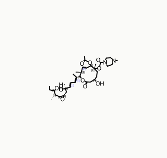 CC[C@H](O)[C@@H](C)[C@H]1O[C@@H]1C[C@@](C)(O)/C=C/C=C(\C)[C@H]1OC(=O)C[C@H](O)CC[C@@](C)(OC(=O)N2CCN(C)CC2)[C@@H](OC(C)=O)/C=C/[C@@H]1C